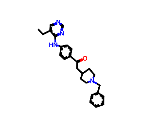 CCc1cncnc1Nc1ccc(C(=O)CC2CCN(Cc3ccccc3)CC2)cc1